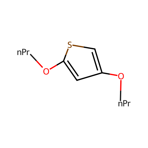 CCCOc1csc(OCCC)c1